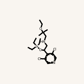 CCOC(C)(C)CNCC(O[Si](CC)(CC)CC)c1c(Cl)cncc1Cl